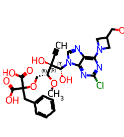 C#C[C@@](O)([C@@H](COC(Cc1ccccc1)(C(=O)O)C(=O)O)OC)[C@@H](O)n1cnc2c(N3CC(CO)C3)nc(Cl)nc21